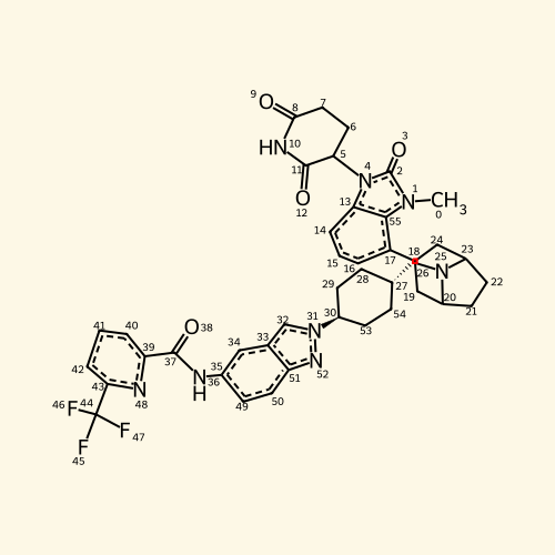 Cn1c(=O)n(C2CCC(=O)NC2=O)c2cccc(C3CC4CCC(C3)N4C[C@H]3CC[C@H](n4cc5cc(NC(=O)c6cccc(C(F)(F)F)n6)ccc5n4)CC3)c21